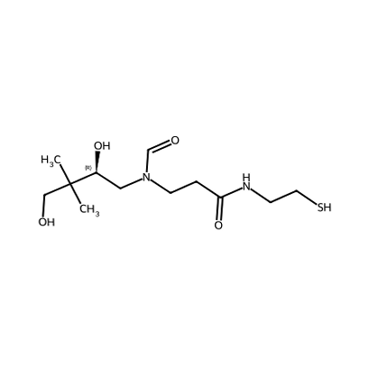 CC(C)(CO)[C@@H](O)CN(C=O)CCC(=O)NCCS